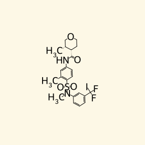 Cc1cc(NC(=O)[C@H]2CCOC[C@H]2C)ccc1S(=O)(=O)N(C)c1cccc(C(F)(F)I)c1